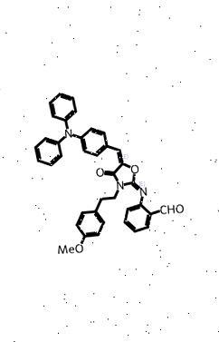 COc1ccc(CCN2C(=O)/C(=C\c3ccc(N(c4ccccc4)c4ccccc4)cc3)O/C2=N/c2ccccc2C=O)cc1